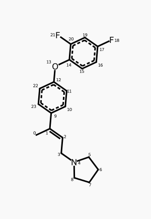 CC(=CCN1CCCC1)c1ccc(Oc2ccc(F)cc2F)cc1